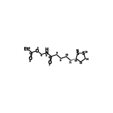 CCC(=O)OCNC(=O)CCCC[C@H]1CCSS1